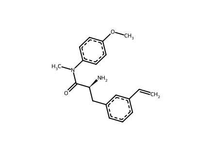 C=Cc1cccc(C[C@H](N)C(=O)N(C)c2ccc(OC)cc2)c1